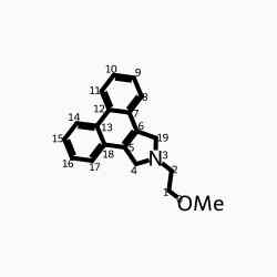 COCCN1Cc2c(c3ccccc3c3ccccc23)C1